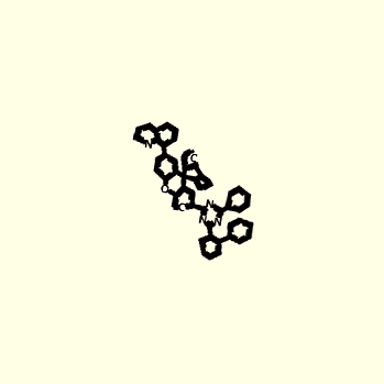 c1ccc(-c2nc(-c3ccc4c(c3)C3(c5cc(-c6cccc7cccnc67)ccc5O4)c4ccccc4-c4ccccc43)nc(-c3ccccc3-c3ccccc3)n2)cc1